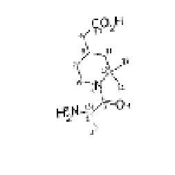 C[C@H](N)C(=O)N1CCC(CC(=O)O)CC1(C)C